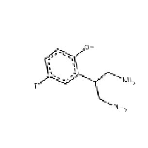 NCC(CN)c1cc(F)ccc1O